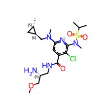 COC[C@H](N)CNC(=O)c1cc(N(C)C[C@H]2C[C@@H]2C)nc(N(C)S(=O)(=O)C(C)C)c1Cl